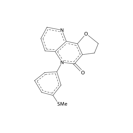 CSc1cccc(-n2c(=O)c3c(c4ncccc42)OCC3)c1